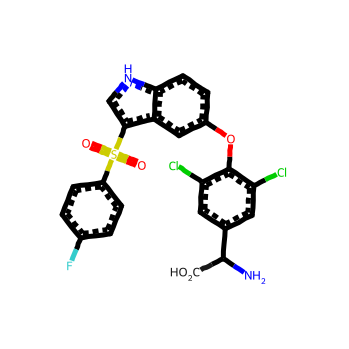 NC(C(=O)O)c1cc(Cl)c(Oc2ccc3[nH]cc(S(=O)(=O)c4ccc(F)cc4)c3c2)c(Cl)c1